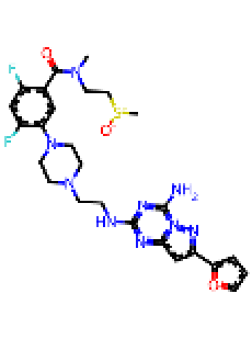 CN(CC[S+](C)[O-])C(=O)c1cc(N2CCN(CCNc3nc(N)n4nc(-c5ccco5)cc4n3)CC2)c(F)cc1F